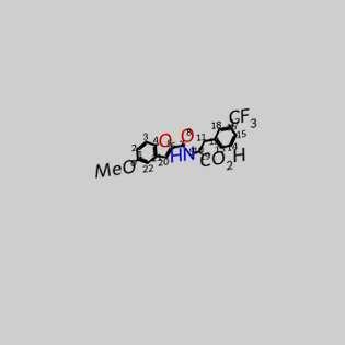 COc1ccc2oc(C(=O)NC(Cc3cccc(C(F)(F)F)c3)C(=O)O)cc2c1